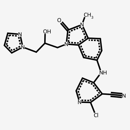 Cn1c(=O)n(CC(O)Cn2cccn2)c2cc(Nc3ccnc(Cl)c3C#N)ccc21